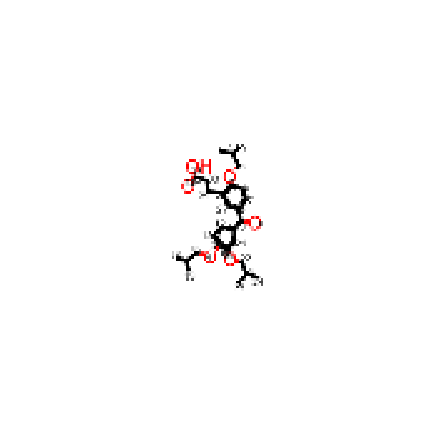 CC(C)COc1ccc(C(=O)c2ccc(OCC(C)C)c(OCC(C)C)c2)cc1CCC(=O)O